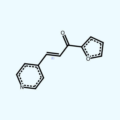 O=C(/C=C/c1ccncc1)c1ccco1